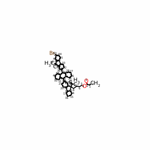 C=CC(=O)OCCCCC1(C(=C)C)c2ccccc2-c2ccc(-c3c4ccccc4c(-c4ccc5c(c4)C(C)(C)c4cc(Br)ccc4-5)c4ccccc34)cc21